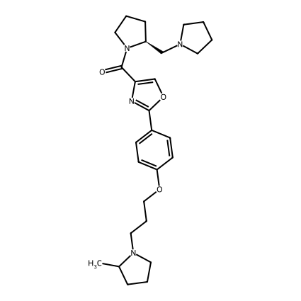 CC1CCCN1CCCOc1ccc(-c2nc(C(=O)N3CCC[C@H]3CN3CCCC3)co2)cc1